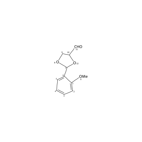 COc1ccccc1C1OCC(C=O)O1